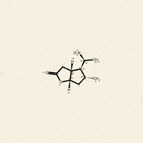 C[C@@H]1C[C@@H]2OC(=O)C[C@@H]2[C@H]1[C@H](C)[N+](=O)[O-]